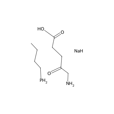 CCCCP.NCC(=O)CCC(=O)O.[NaH]